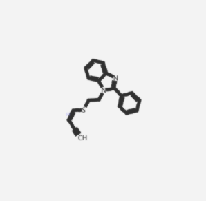 C#C/C=C\SCCn1c(-c2ccccc2)nc2ccccc21